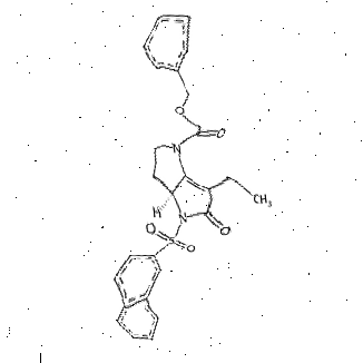 CCC1=C2[C@H](CCN2C(=O)OCc2ccccc2)N(S(=O)(=O)c2ccc3ccccc3c2)C1=O